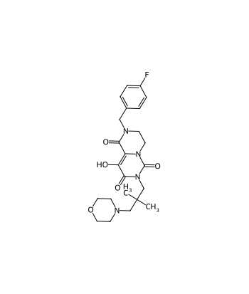 CC(C)(CN1CCOCC1)Cn1c(=O)c(O)c2n(c1=O)CCN(Cc1ccc(F)cc1)C2=O